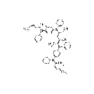 C=C/C=C\C(=C)N(c1ccccc1)c1ccc(N(/C(C)=C(C#N)/C=C(\CC#N)N(c2ccccc2)c2ccc(N(/C(C)=C/C=C\C)c3ccccc3)cc2)c2ccccc2)cc1